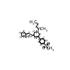 CCC[C@H](C)N1CC(c2ccc(S(C)(=O)=O)cc2)=NC(OCC2NCCS2)C1